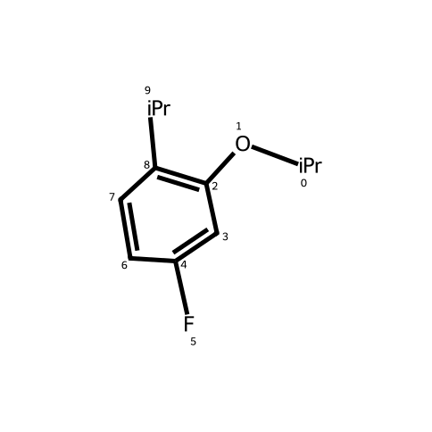 CC(C)Oc1cc(F)ccc1C(C)C